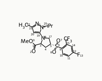 COC(=O)C1C[C@@H](S(=O)(=O)c2ccc(F)cc2C(F)(F)F)CN1c1cc(C)nn1C(C)C